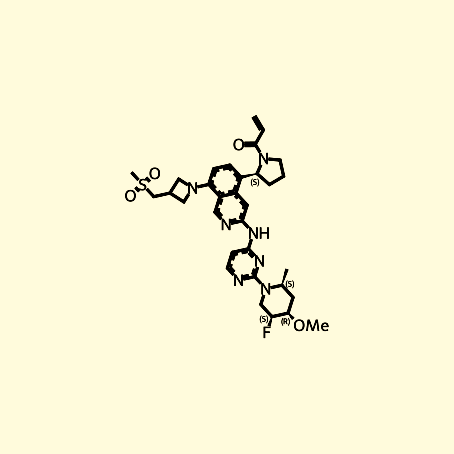 C=CC(=O)N1CCC[C@H]1c1ccc(N2CC(CS(C)(=O)=O)C2)c2cnc(Nc3ccnc(N4C[C@H](F)[C@H](OC)C[C@@H]4C)n3)cc12